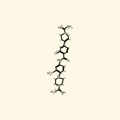 Cc1cc(NC(=O)c2ccc(C3=CCN(C(=N)N)CC3)cc2Cl)ccc1N1CCN(C(=N)N)CC1